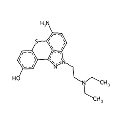 CCN(CC)CCn1nc2c3c(c(N)ccc31)Sc1ccc(O)cc1-2